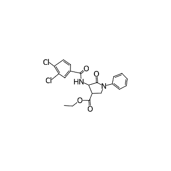 CCOC(=O)C1CN(c2ccccc2)C(=O)C1NC(=O)c1ccc(Cl)c(Cl)c1